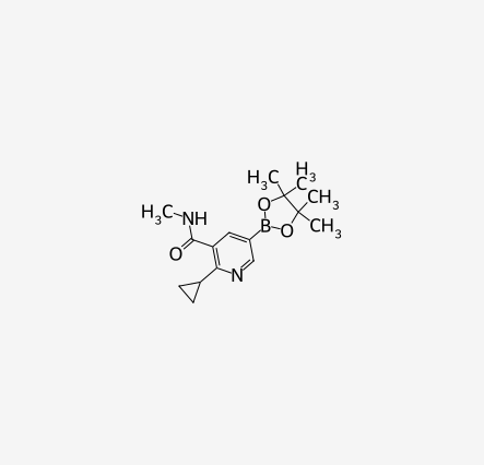 CNC(=O)c1cc(B2OC(C)(C)C(C)(C)O2)cnc1C1CC1